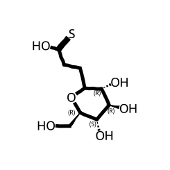 OC[C@H]1OC(CCC(O)=S)[C@H](O)[C@@H](O)[C@@H]1O